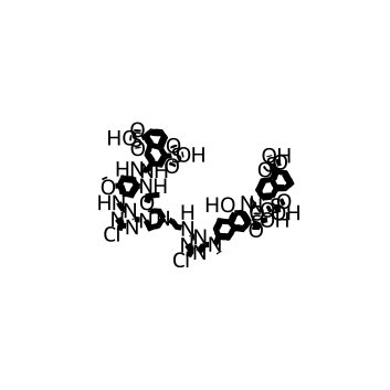 COc1cc(NNc2cc(S(=O)(=O)O)c3cccc(S(=O)(=O)O)c3c2)c(NC(C)=O)cc1Nc1nc(Cl)nc(N2CCN(CCNc3nc(Cl)nc(N(C)c4ccc5c(O)c(/N=N/c6ccc7c(S(=O)(=O)O)cccc7c6S(=O)(=O)O)c(S(=O)(=O)O)cc5c4)n3)CC2)n1